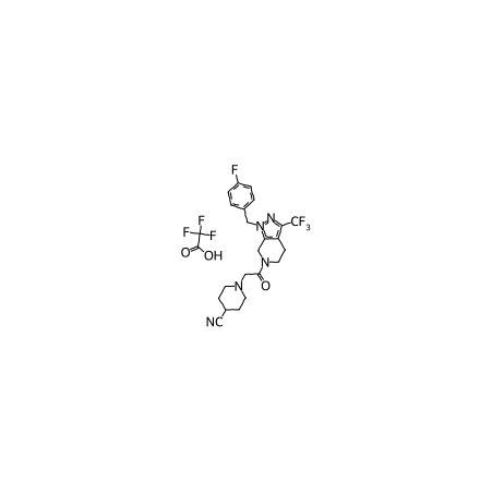 N#CC1CCN(CC(=O)N2CCc3c(C(F)(F)F)nn(Cc4ccc(F)cc4)c3C2)CC1.O=C(O)C(F)(F)F